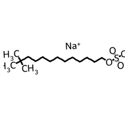 CC(C)(C)CCCCCCCCCCCOS(=O)(=O)[O-].[Na+]